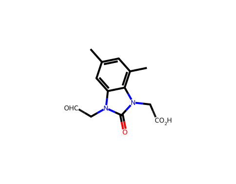 Cc1cc(C)c2c(c1)n(CC=O)c(=O)n2CC(=O)O